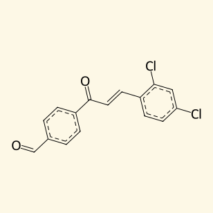 O=Cc1ccc(C(=O)C=Cc2ccc(Cl)cc2Cl)cc1